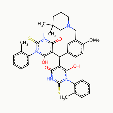 COc1ccc(C(c2c(O)n(-c3ccccc3C)c(=S)[nH]c2=O)c2c(O)n(-c3ccccc3C)c(=S)[nH]c2=O)cc1CN1CCCC(C)(C)C1